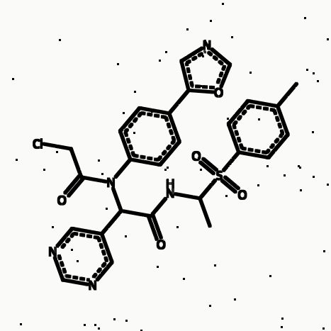 Cc1ccc(S(=O)(=O)C(C)NC(=O)C(c2cncnc2)N(C(=O)CCl)c2ccc(-c3cnco3)cc2)cc1